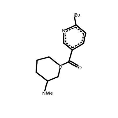 CCC(C)c1ccc(C(=O)N2CCCC(NC)C2)cn1